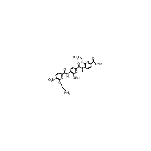 COC(=O)c1ccc(NC(=O)c2ccc(NC(=O)c3ccc([N+](=O)[O-])c(OCCCN)n3)c(OCC(C)C)n2)c(OCC(=O)O)n1